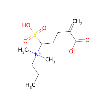 C=C(CCC([N+](C)(C)CCC)S(=O)(=O)O)C(=O)[O-]